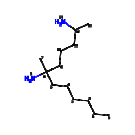 CCCCCCC(C)(N)CCCC(C)N